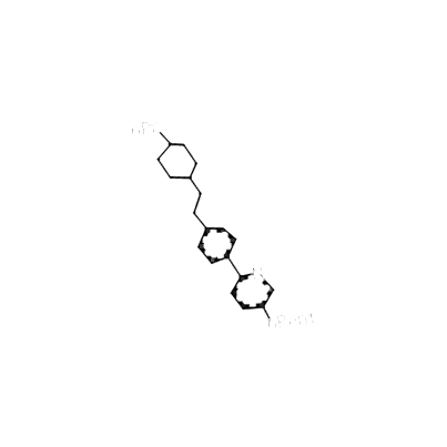 CCCCCc1ccc(-c2ccc(CCC3CCC(CCC)CC3)cc2)nc1